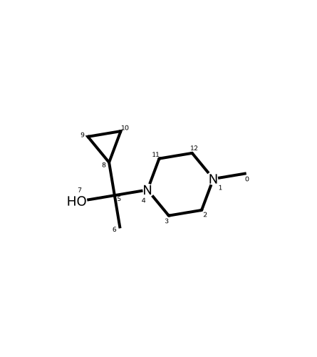 CN1CCN(C(C)(O)C2CC2)CC1